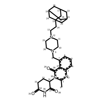 Cc1nc2cccc(CN3CCN(CCC45CC6CC(CC(C6)C4)C5)CC3)c2c(=O)n1C1CCC(=O)NC1=O